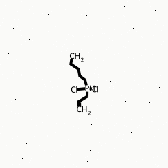 C=CC[PH](Cl)(Cl)CCCCC